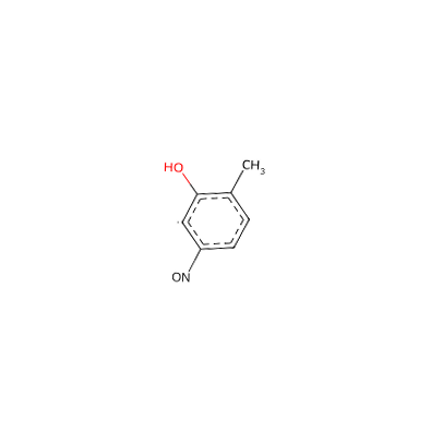 Cc1ccc(N=O)[c]c1O